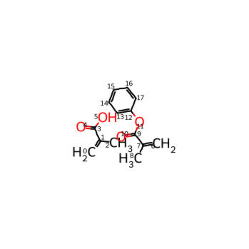 C=C(C)C(=O)O.C=C(C)C(=O)Oc1ccccc1